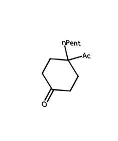 CCCCCC1(C(C)=O)CCC(=O)CC1